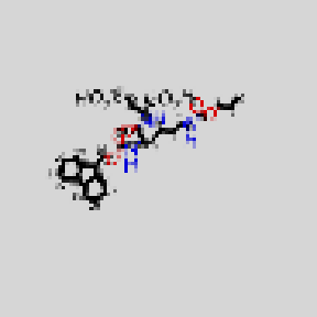 C=CCOC(=O)NCCCC[C@H](NC(=O)OCC1c2ccccc2-c2ccccc21)C(=O)N[C@@H](CCC(=O)O)C(=O)O